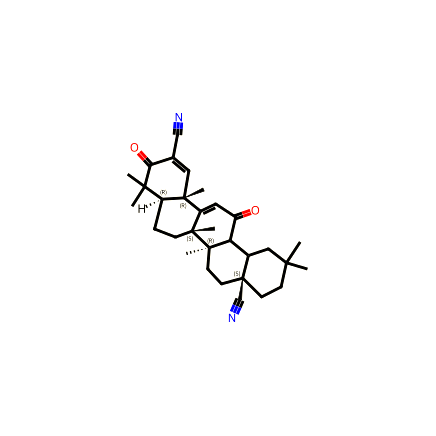 CC1(C)CC[C@]2(C#N)CC[C@]3(C)C(C(=O)C=C4[C@@]5(C)C=C(C#N)C(=O)C(C)(C)[C@@H]5CC[C@]43C)C2C1